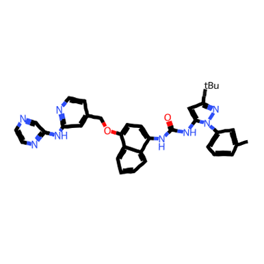 Cc1cccc(-n2nc(C(C)(C)C)cc2NC(=O)Nc2ccc(OCc3ccnc(Nc4cnccn4)c3)c3ccccc23)c1